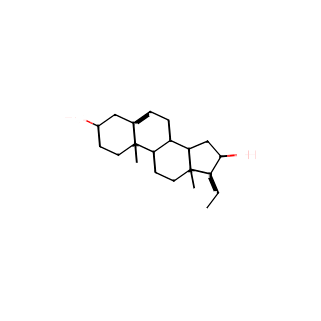 C/C=C1/C(O)CC2C3CC=C4CC(O)CCC4(C)C3CCC12C